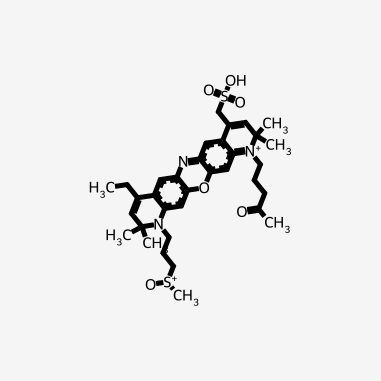 CCC1=CC(C)(C)N(CCC[S+](C)[O-])c2cc3c(cc21)N=c1cc2c(cc1O3)=[N+](CCCC(C)=O)C(C)(C)C=C2CS(=O)(=O)O